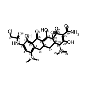 CN(C)c1cc(NC(=O)CCl)c(O)c2c1CC1CC3[C@H](N(C)C)C(O)=C(C(N)=O)C(=O)[C@@]3(O)C(O)=C1C2=O